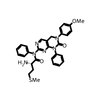 COc1ccc(N2Cc3cnc(N(C(=O)[C@@H](N)CCSC)c4ccccc4)nc3N(c3ccccc3)C2=O)cc1